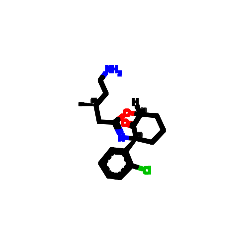 C[C@H](CCN)CC1=N[C@@]2(c3ccccc3Cl)CCC[C@@H](O1)C2=O